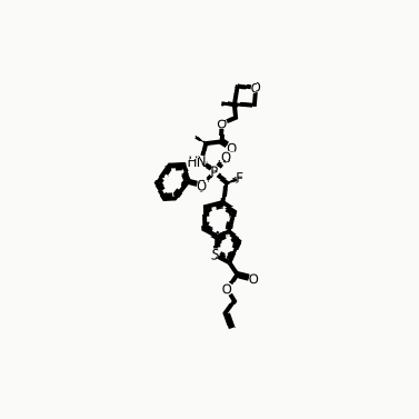 C=CCOC(=O)c1cc2cc([C@H](F)P(=O)(N[C@@H](C)C(=O)OCC3(C)COC3)Oc3ccccc3)ccc2s1